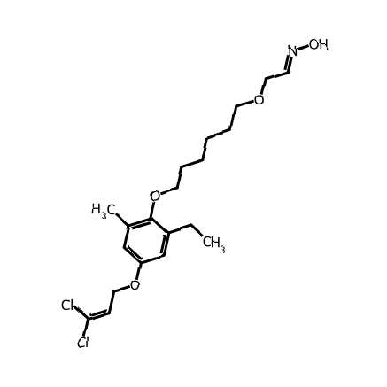 CCc1cc(OCC=C(Cl)Cl)cc(C)c1OCCCCCCOCC=NO